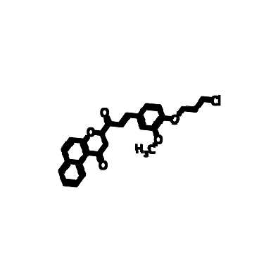 COc1cc(C=CC(=O)C2CC(=O)c3c(ccc4ccccc34)O2)ccc1OCCCCl